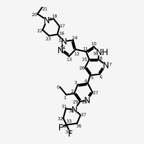 CCc1cc(-c2cnc3[nH]cc(-c4cnn(C5CCN(CC)CC5)c4)c3c2)cnc1N1CCC(F)(F)CC1